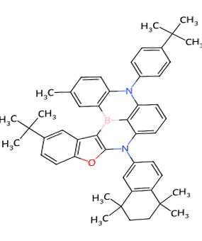 Cc1ccc2c(c1)B1c3c(cccc3N(c3ccc4c(c3)C(C)(C)CCC4(C)C)c3oc4ccc(C(C)(C)C)cc4c31)N2c1ccc(C(C)(C)C)cc1